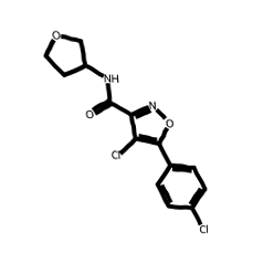 O=C(NC1CCOC1)c1noc(-c2ccc(Cl)cc2)c1Cl